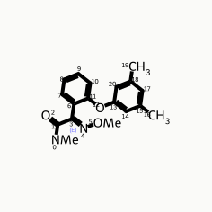 CNC(=O)/C(=N/OC)c1ccccc1Oc1cc(C)cc(C)c1